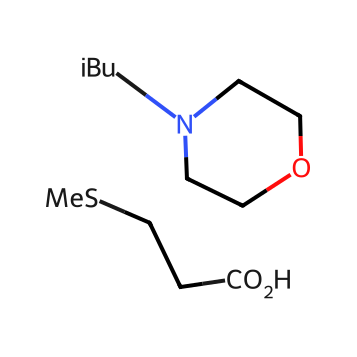 CCC(C)N1CCOCC1.CSCCC(=O)O